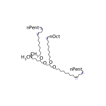 CCCCC/C=C\C/C=C\CCCCCCCCOCC(COCC(CCCN(C)C)OCCCCCCCC/C=C\C/C=C\CCCCC)OCCCCCCCC/C=C\CCCCCCCC